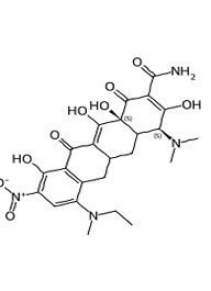 CCN(C)c1cc([N+](=O)[O-])c(O)c2c1CC1CC3[C@H](N(C)C)C(O)=C(C(N)=O)C(=O)[C@@]3(O)C(O)=C1C2=O